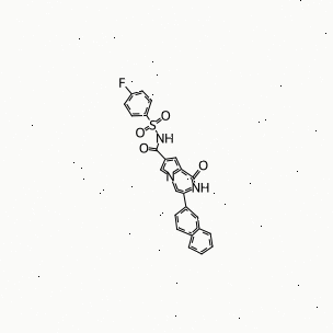 O=C(NS(=O)(=O)c1ccc(F)cc1)c1cc2c(=O)[nH]c(-c3ccc4ccccc4c3)cn2c1